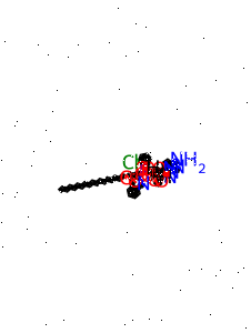 CCCCCCCCCCCCCCCCCCOC[C@H](COP(=O)(Oc1ccccc1Cl)OC1[C@H]2O[C@@](C#N)(c3ccc4c(N)ncnn34)[C@@H]3OC(C)(C)O[C@]123)OCc1ccccc1C#N